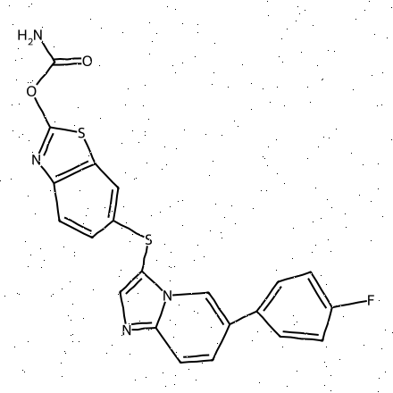 NC(=O)Oc1nc2ccc(Sc3cnc4ccc(-c5ccc(F)cc5)cn34)cc2s1